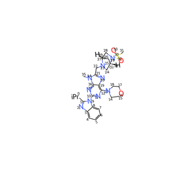 CC(C)c1nc2ccccc2n1-c1nc(N2CCOCC2)c2nc(CN3C[C@@H]4C[C@H]3CN4S(C)(=O)=O)n(C)c2n1